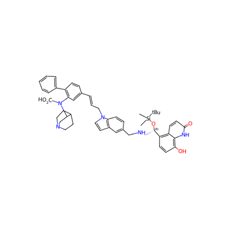 CC(C)(C)[Si](C)(C)O[C@@H](CNCc1ccc2c(ccn2CC=Cc2ccc(-c3ccccc3)c(N(C(=O)O)C3CN4CCC3CC4)c2)c1)c1ccc(O)c2[nH]c(=O)ccc12